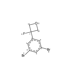 FC1(c2cc(Br)cc(Br)c2)COC1